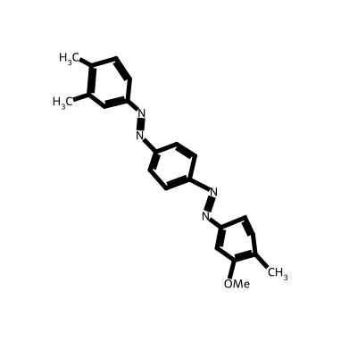 COc1cc(N=Nc2ccc(N=Nc3ccc(C)c(C)c3)cc2)ccc1C